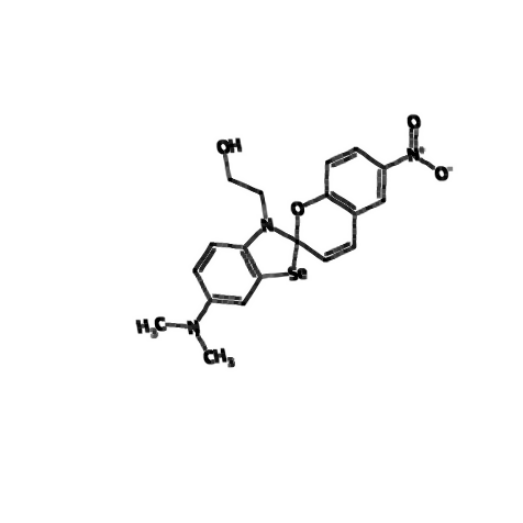 CN(C)c1ccc2c(c1)[Se]C1(C=Cc3cc([N+](=O)[O-])ccc3O1)N2CCO